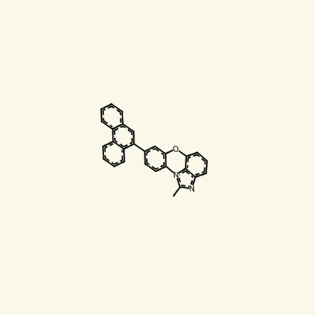 Cc1nc2cccc3c2n1-c1ccc(-c2cc4ccccc4c4ccccc24)cc1O3